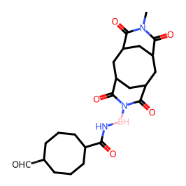 CN1C(=O)C2CC(CC3CC(C2)C(=O)N(BNC(=O)C2CCCC(C=O)CCC2)C3=O)C1=O